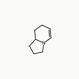 [C]1CCN2C=CCCC12